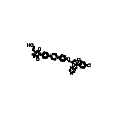 CC1(C)C(=O)N(c2ccc(N3CCN(c4ccc(OC[C@@H]5CO[C@@](Cn6cncn6)(c6ccc(Cl)cc6Cl)O5)cc4)CC3)cc2)C(=O)N1CCO